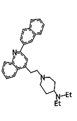 CCN(CC)C1CCN(CCc2cc(-c3ccc4ccccc4c3)nc3ccccc23)CC1